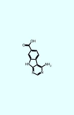 Nc1ncnc2[nH]c3cc(C(=O)O)ccc3c12